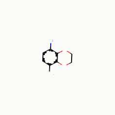 N#Cc1ccc(N)c2c1OCCO2